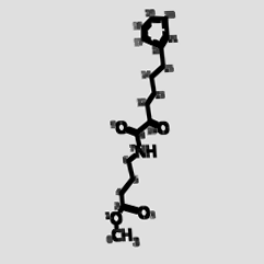 COC(=O)CCCNC(=O)C(=O)CCCCc1ccccc1